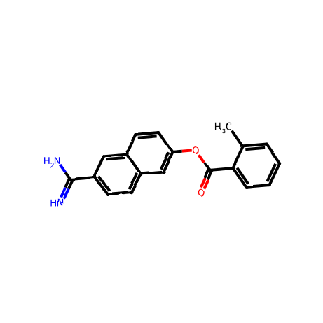 Cc1ccccc1C(=O)Oc1ccc2cc(C(=N)N)ccc2c1